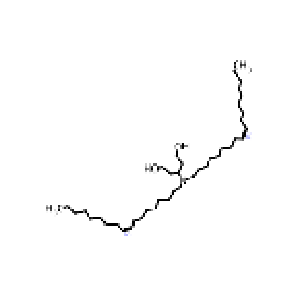 CCCCCCCC/C=C\CCCCCCCCN(CCCCCCCC/C=C\CCCCCCCC)C(CCO)CCO